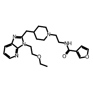 CCOCCn1c(CC2CCN(CCNC(=O)c3ccoc3)CC2)nc2cccnc21